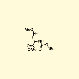 COC(=O)[C@H](CN(C)OC)NC(=O)OC(C)(C)C